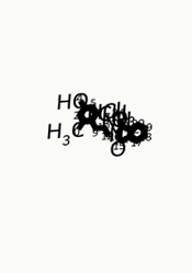 Cc1cc(O)cc(C)c1C[C@H](N)CN1C(=O)c2ccccc2C1=O.Cl